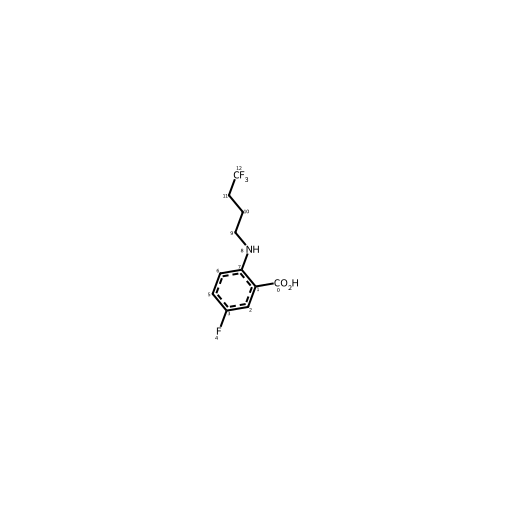 O=C(O)c1cc(F)ccc1NCCCC(F)(F)F